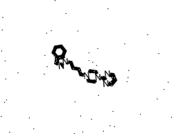 c1cnc(N2CCN(CCCCn3ncc4c3CCCC4)CC2)nc1